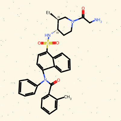 CC[C@H]1CN(C(=O)CN)CC[C@@H]1NS(=O)(=O)c1ccc(N(C(=O)c2ccccc2C)c2ccccc2)c2ccccc12